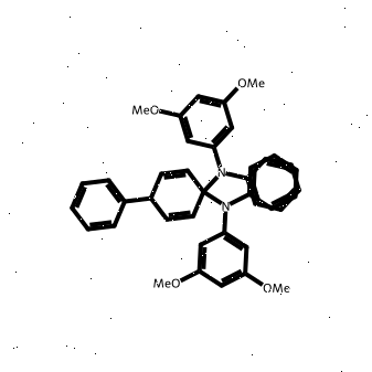 COc1cc(OC)cc(N(c2ccccc2)C2(N(c3ccccc3)c3cc(OC)cc(OC)c3)C=CC(c3ccccc3)C=C2)c1